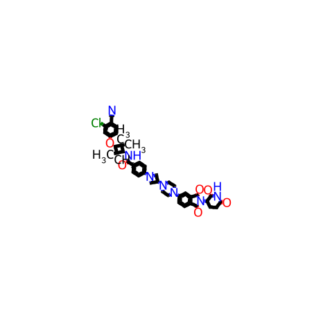 CC1(C)[C@H](NC(=O)c2ccc(N3CC(N4CCN(c5ccc6c(c5)C(=O)N(C5CCC(=O)NC5=O)C6=O)CC4)C3)cc2)C(C)(C)[C@H]1Oc1ccc(C#N)c(Cl)c1